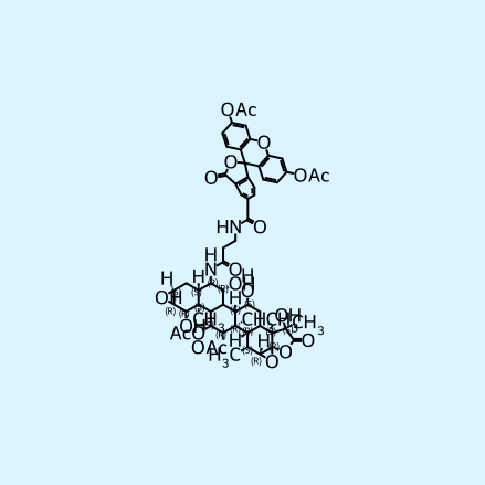 CC(=O)Oc1ccc2c(c1)Oc1cc(OC(C)=O)ccc1C21OC(=O)c2cc(C(=O)NCCC(=O)N[C@H]3[C@H](O)C4C([C@H](OC(C)=O)[C@H](OC(C)=O)[C@]5(C)[C@@H]6C(C[C@H](O)[C@@H]45)[C@]4(C)[C@]5(OC(=O)[C@@]4(C)O)O[C@@H]5[C@H]6C)[C@]4(C)[C@@H]3C[C@@H]3O[C@@H]3[C@@H]4O)ccc21